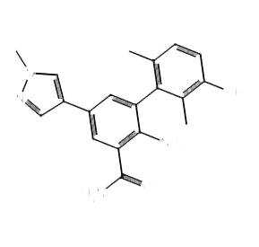 Cc1ccc(O)c(C)c1-c1cc(-c2cnn(C)c2)cc(C(N)=O)c1N